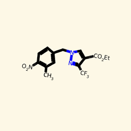 CCOC(=O)c1cn(Cc2ccc([N+](=O)[O-])c(C)c2)nc1C(F)(F)F